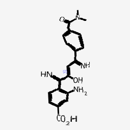 CN(C)C(=O)c1ccc(C(=N)/C=C(\O)C(=N)c2ccc(C(=O)O)cc2N)cc1